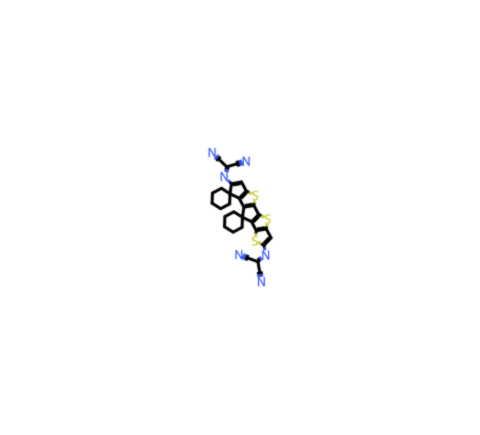 N#CC(C#N)=NC1=Cc2sc3c(c2C12CCCCC2)C1(CCCCC1)c1c-3sc2cc(N=C(C#N)C#N)sc12